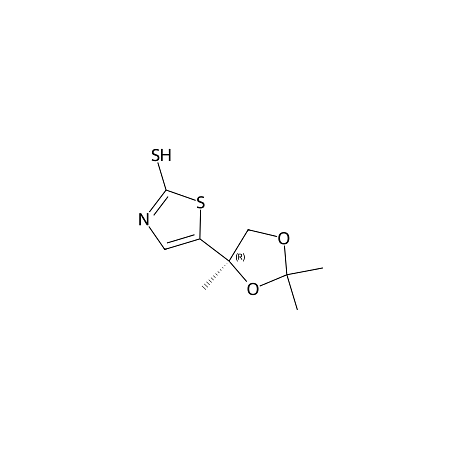 CC1(C)OC[C@](C)(c2cnc(S)s2)O1